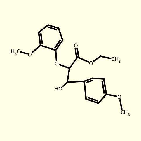 CCOC(=O)C(Oc1ccccc1OC)C(O)c1ccc(OC)cc1